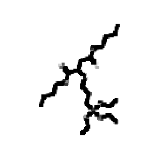 CCCCOC(=O)CC(SCCC[Si](OCC)(OCC)OCC)C(=O)OCCCC